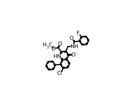 COC(=O)c1[nH]c2c(-c3ccccc3)c(Cl)ccc2c(=O)c1CNC(=O)c1ccccc1F